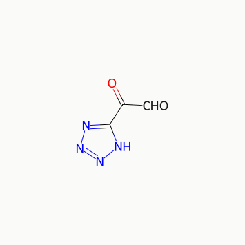 O=CC(=O)c1nnn[nH]1